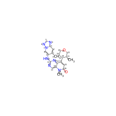 Cc1cc2ncnn2cc1Nc1ncc2c(n1)c(C1CCOCC1C)cc(=O)n2C